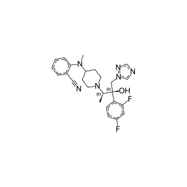 C[C@@H](N1CCC(N(C)c2ccccc2C#N)CC1)[C@](O)(Cn1cncn1)c1ccc(F)cc1F